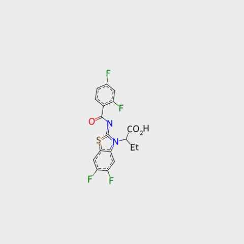 CCC(C(=O)O)n1c(=NC(=O)c2ccc(F)cc2F)sc2cc(F)c(F)cc21